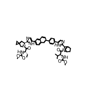 CC[C@H](NC(=O)OC)C(=O)N1CC2(CC2)C[C@H]1c1ncc(-c2ccc3cc(-c4ccc(-c5cnc(C6C7CCC(C7)N6C(=O)[C@@H](NC(=O)OC)C(C)C)[nH]5)cc4)ccc3c2)[nH]1